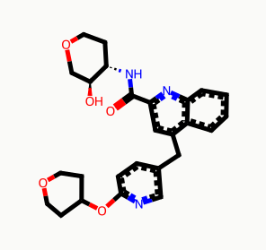 O=C(N[C@H]1CCOC[C@@H]1O)c1cc(Cc2ccc(OC3CCOCC3)nc2)c2ccccc2n1